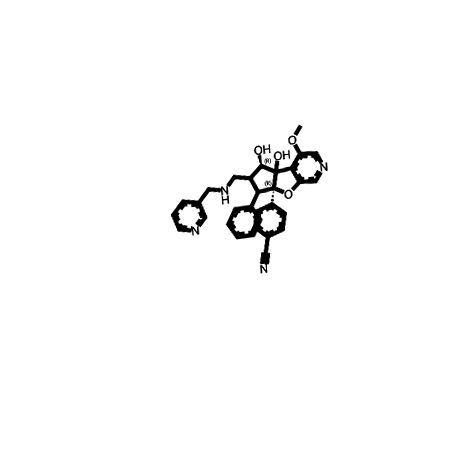 COc1cncc2c1C1(O)[C@H](O)C(CNCc3cccnc3)C(c3ccccc3)[C@]1(c1ccc(C#N)cc1)O2